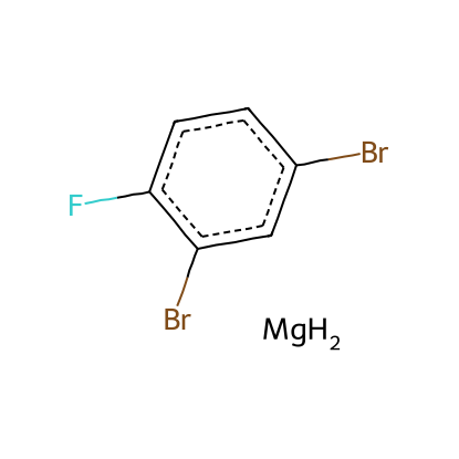 Fc1ccc(Br)cc1Br.[MgH2]